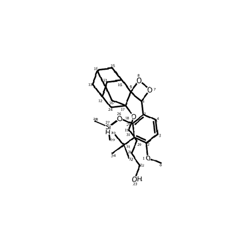 COc1ccc(C2OOC23C2CC4CC(C2)CC3(OCCCCO)C4)c(O[SiH](C)C)c1C(C)(C)C